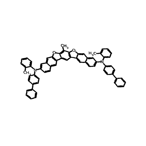 Cc1ccccc1N(c1ccc(-c2ccccc2)cc1)c1ccc2cc3c(cc2c1)oc1c(C)c2oc4cc5cc(N(c6ccc(-c7ccccc7)cc6)c6ccccc6C)ccc5cc4c2cc13